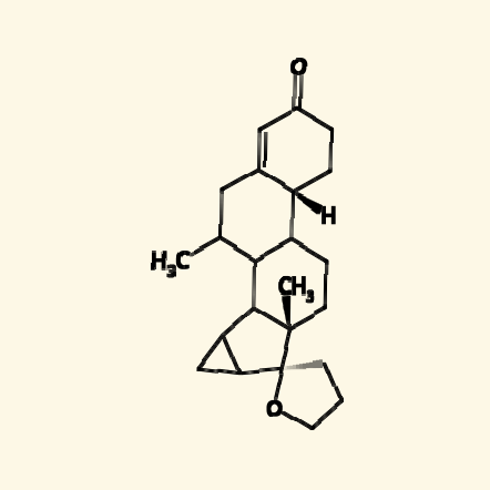 CC1CC2=CC(=O)CC[C@@H]2C2CC[C@@]3(C)C(C4CC4[C@@]34CCCO4)C12